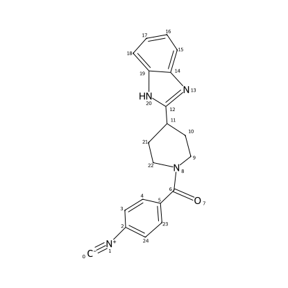 [C-]#[N+]c1ccc(C(=O)N2CCC(c3nc4ccccc4[nH]3)CC2)cc1